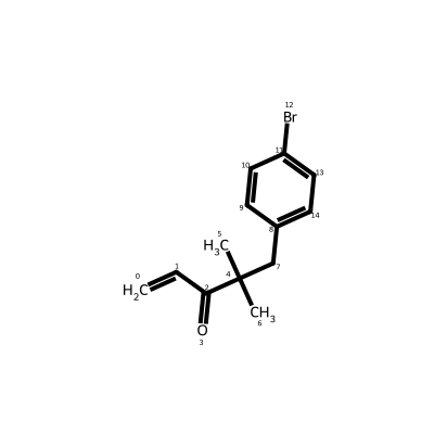 C=CC(=O)C(C)(C)Cc1ccc(Br)cc1